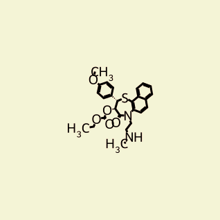 CCOC(=O)O[C@H]1C(=O)N(CCNC)c2ccc3ccccc3c2S[C@H]1c1ccc(OC)cc1